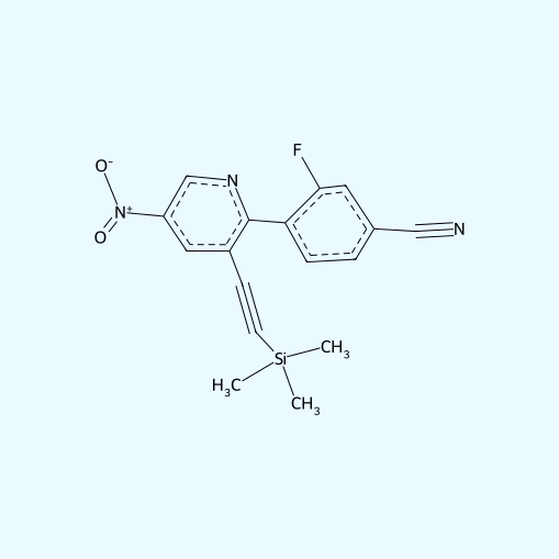 C[Si](C)(C)C#Cc1cc([N+](=O)[O-])cnc1-c1ccc(C#N)cc1F